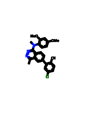 COc1ccc(N(C)c2nnc(C)c3cc(-c4cc(Cl)ccc4C#N)ccc23)c(OC)c1